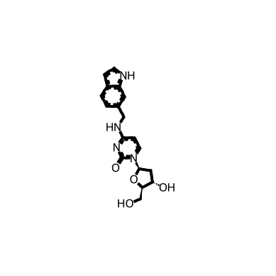 O=c1nc(NCc2ccc3cc[nH]c3c2)ccn1[C@H]1C[C@H](O)[C@@H](CO)O1